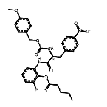 CCCCC(=O)Oc1c(F)cccc1NC(=O)[C@H](Cc1ccc([N+](=O)[O-])cc1)NC(=O)OCc1ccc(OC)cc1